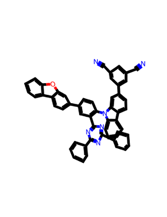 N#Cc1cc(C#N)cc(-c2ccc3c4ccccc4n(-c4ccc(-c5ccc6c(c5)oc5ccccc56)cc4-c4nc(-c5ccccc5)nc(-c5ccccc5)n4)c3c2)c1